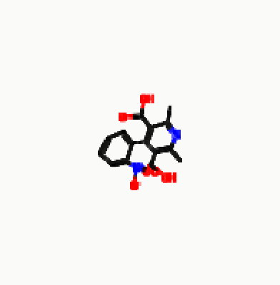 Cc1nc(C)c(C(=O)O)c(-c2ccccc2[N+](=O)[O-])c1C(=O)O